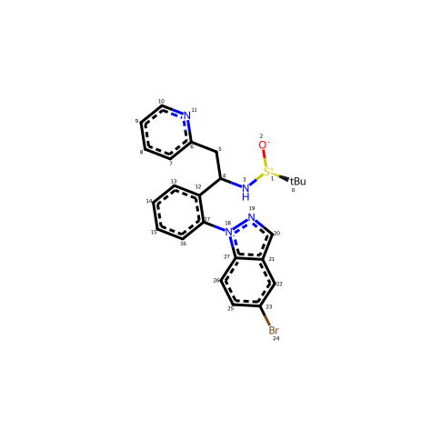 CC(C)(C)[S@+]([O-])NC(Cc1ccccn1)c1ccccc1-n1ncc2cc(Br)ccc21